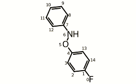 Fc1ccc(ONc2ccccc2)cc1